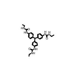 CCNC(=O)Nc1ccc(C(c2ccc(NC(=O)NCC)cc2)c2ccc(NC(=O)NCC)cc2)cc1